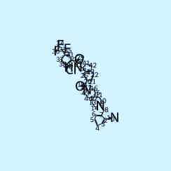 N#Cc1ccccc1CN1CCC2(CC1)CCN(C(=O)c1ccc3c(c1)C(NC(=O)c1cc(C(F)(F)F)ccc1Cl)CC3)CC2